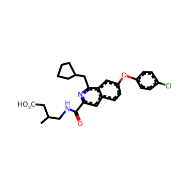 CC(CNC(=O)c1cc2ccc(Oc3ccc(Cl)cc3)cc2c(CC2CCCC2)n1)CC(=O)O